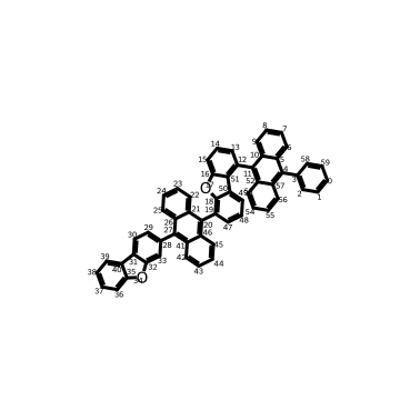 c1ccc(-c2c3ccccc3c(-c3cccc4oc5c(-c6c7ccccc7c(-c7ccc8c(c7)oc7ccccc78)c7ccccc67)cccc5c34)c3ccccc23)cc1